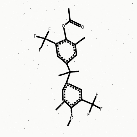 COc1c(C)cc(C(C)(C)c2cc(C)c(OC(C)=O)c(C(F)(F)F)c2)cc1C(F)(F)F